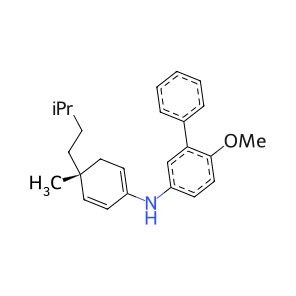 COc1ccc(NC2=CC[C@@](C)(CCC(C)C)C=C2)cc1-c1ccccc1